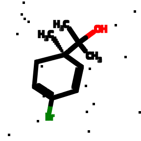 CC(C)(O)[C@@]1(C)C=CC(Br)=CC1